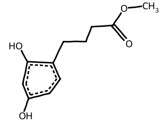 COC(=O)CCCc1ccc(O)cc1O